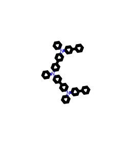 c1ccc(-c2ccc(N(c3ccccc3)c3ccc(-c4ccc(N(c5ccccc5)c5ccc(-c6ccc(N(c7ccccc7)c7ccc(-c8ccccc8)cc7)cc6)cc5)cc4)cc3)cc2)cc1